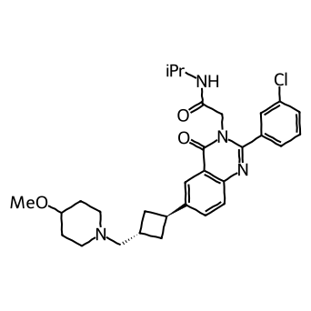 COC1CCN(C[C@H]2C[C@H](c3ccc4nc(-c5cccc(Cl)c5)n(CC(=O)NC(C)C)c(=O)c4c3)C2)CC1